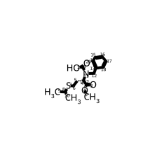 COC(=O)[C@H](CCSC(C)C)N(Cc1ccccc1)C(=O)O